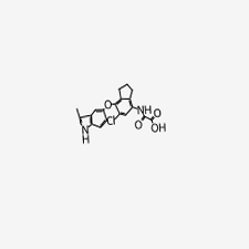 Cc1c[nH]c2ccc(Oc3c(Cl)cc(NC(=O)C(=O)O)c4c3CCC4)cc12